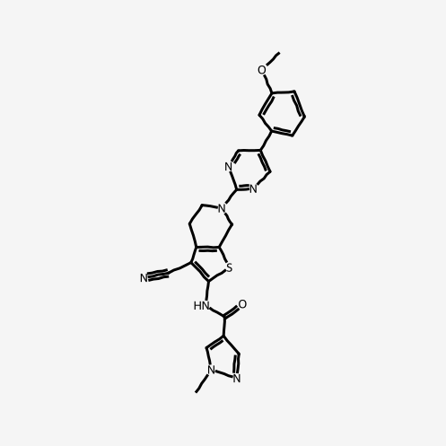 COc1cccc(-c2cnc(N3CCc4c(sc(NC(=O)c5cnn(C)c5)c4C#N)C3)nc2)c1